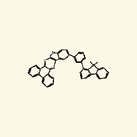 CC1(C)c2ccccc2-c2cccc(-c3cccc(-c4ccc5sc6nc7c8ccccc8c8ccccc8c7nc6c5c4)c3)c21